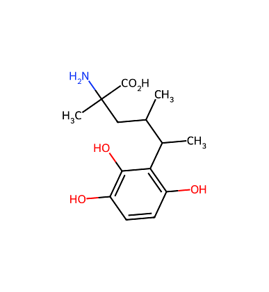 CC(CC(C)(N)C(=O)O)C(C)c1c(O)ccc(O)c1O